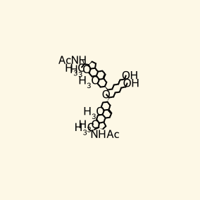 CC(=O)N[C@H](C)[C@H]1CCC2C3CC=C4C[C@@H](C(CCCCCO)OC(CCCCCO)[C@H]5CC[C@@]6(C)C(=CCC7C6CC[C@@]6(C)C7CC[C@@H]6[C@@H](C)NC(C)=O)C5)CC[C@]4(C)C3CC[C@@]21C